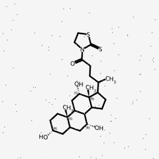 CC(CCC(=O)N1CCSC1=S)C1CCC2C3C(C[C@H](O)[C@]12C)[C@@]1(C)CC[C@@H](O)CC1C[C@H]3O